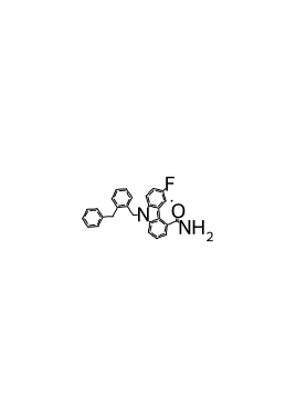 NC(=O)c1cccc2c1c1[c]c(F)ccc1n2Cc1ccccc1Cc1ccccc1